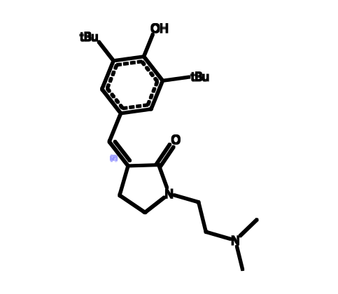 CN(C)CCN1CC/C(=C/c2cc(C(C)(C)C)c(O)c(C(C)(C)C)c2)C1=O